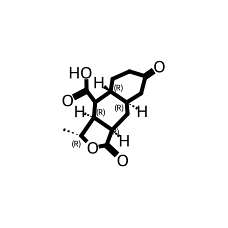 C[C@H]1OC(=O)[C@@H]2C[C@@H]3CC(=O)CC[C@H]3C(C(=O)O)[C@H]12